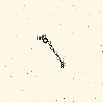 [N-]=[N+]=NCCOCCOCCOCCOc1ccc2[nH]cnc2c1